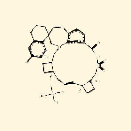 CC(C)(C)[Si](C)(C)O[C@H]1/C=C/[C@@H]2CC[C@H]2CS(=O)(=O)NC(=O)c2ccc3c(c2)N(C[C@@H]2CC[C@H]21)C[C@@]1(CCCc2cc(Cl)ccc21)CO3